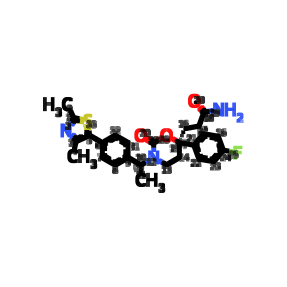 Cc1nc(C)c(-c2ccc([C@H](C)N3CC[C@](CCC(N)=O)(c4ccc(F)cc4)OC3=O)cc2)s1